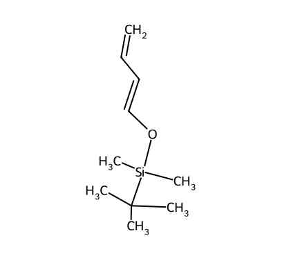 C=C/C=C/O[Si](C)(C)C(C)(C)C